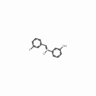 [O-][N+](=Cc1cccc(F)c1)c1cccc(O)c1